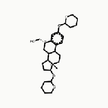 C[C@]12CCC3c4ccc(OC5CCCCO5)cc4[C@@H](CO)CC3C1CCC2OC1CCCCO1